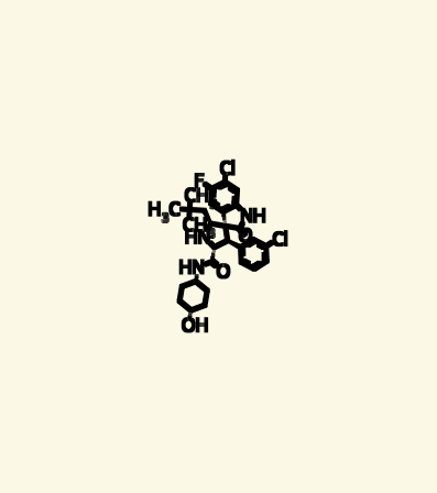 CC(C)(C)C[C@@H]1N[C@@H](C(=O)N[C@H]2CC[C@@H](O)CC2)[C@H](c2cccc(Cl)c2)[C@]12C(=O)Nc1cc(Cl)c(F)cc12